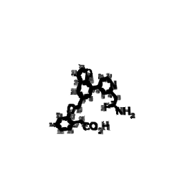 N[C@@H](F)Cc1cc(-c2cc(COc3ccccc3CC(=O)O)cc3ccoc23)ccn1